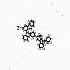 Brc1cc(-n2c3ccccc3c3cc(-c4ccc5c(c4)c4ccccc4n5-c4ccccc4)ccc32)c2sc3ccccc3c2c1